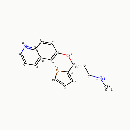 CNCC[C@@H](Oc1ccc2ncccc2c1)c1cccs1